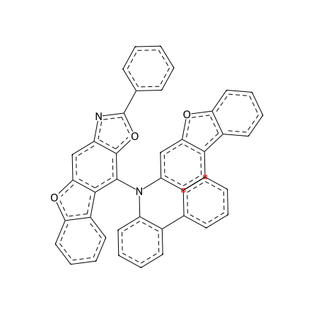 c1ccc(-c2nc3cc4oc5ccccc5c4c(N(c4ccc5c(c4)oc4ccccc45)c4ccccc4-c4ccccc4)c3o2)cc1